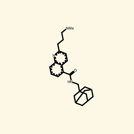 CNCCCc1ccc2c(C(=O)NCC34CC5CC(CC(C5)C3)C4)cccc2n1